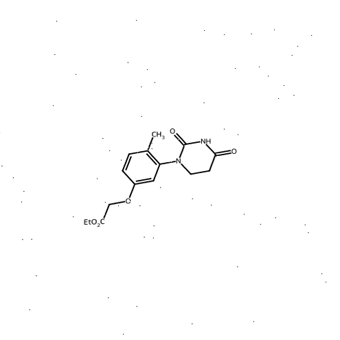 CCOC(=O)COc1ccc(C)c(N2CCC(=O)NC2=O)c1